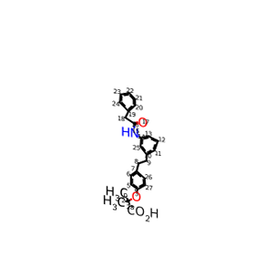 CC(C)(Oc1ccc(CCc2cccc(NC(=O)Cc3ccccc3)c2)cc1)C(=O)O